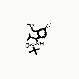 COCc1cc(Cl)ccc1C(N[S+]([O-])C(C)(C)C)C(C)C